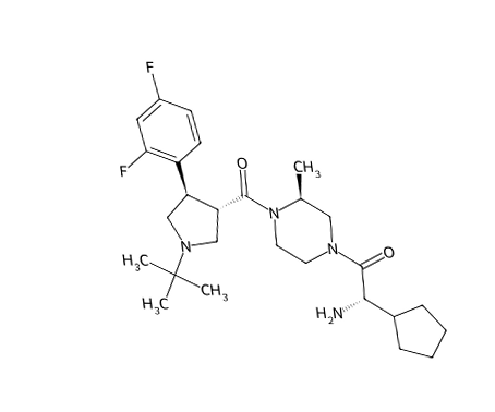 C[C@H]1CN(C(=O)[C@@H](N)C2CCCC2)CCN1C(=O)[C@@H]1CN(C(C)(C)C)C[C@H]1c1ccc(F)cc1F